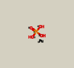 O=P(O)(O)O.[Pu]